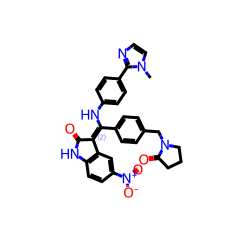 Cn1ccnc1-c1ccc(N/C(=C2\C(=O)Nc3ccc([N+](=O)[O-])cc32)c2ccc(CN3CCCC3=O)cc2)cc1